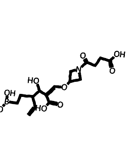 C=CC(CCB(O)O)C(O)/C(=C/OC1CN(C(=O)CCC(=O)O)C1)C(=O)O